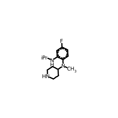 CC(C)Nc1cc(F)ccc1N(C)C1CCNCC1